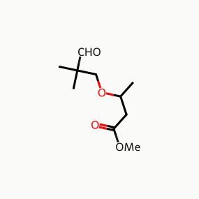 COC(=O)CC(C)OCC(C)(C)C=O